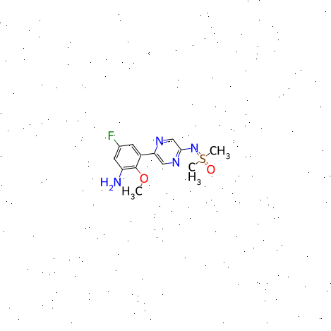 COc1c(N)cc(F)cc1-c1cnc(N=S(C)(C)=O)cn1